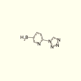 Bc1ccc(-n2cnnn2)nc1